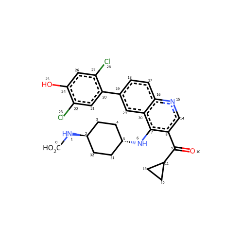 O=C(O)N[C@H]1CC[C@H](Nc2c(C(=O)C3CC3)cnc3ccc(-c4cc(Cl)c(O)cc4Cl)cc23)CC1